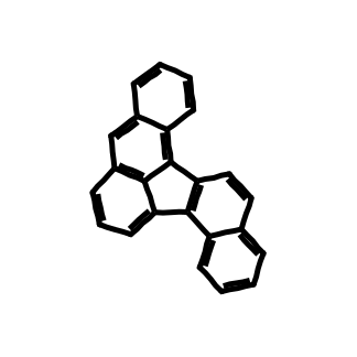 c1ccc2c3c(ccc2c1)-c1c2ccccc2cc2cccc-3c12